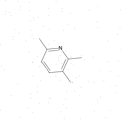 [CH2]c1ccc(C)nc1C